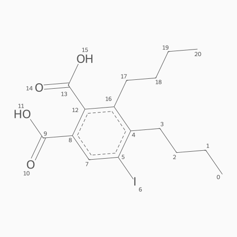 CCCCc1c(I)cc(C(=O)O)c(C(=O)O)c1CCCC